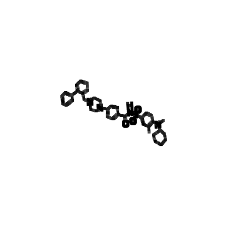 Cc1cc(S(=O)(=O)NC(=O)c2ccc(N3CCN(Cc4ccccc4-c4ccccc4)CC3)cc2)ccc1N(C)C1CCCCC1